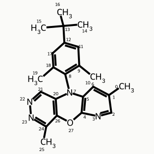 Cc1cnc2c(c1)N(c1c(C)cc(C(C)(C)C)cc1C)c1cnnc(C)c1O2